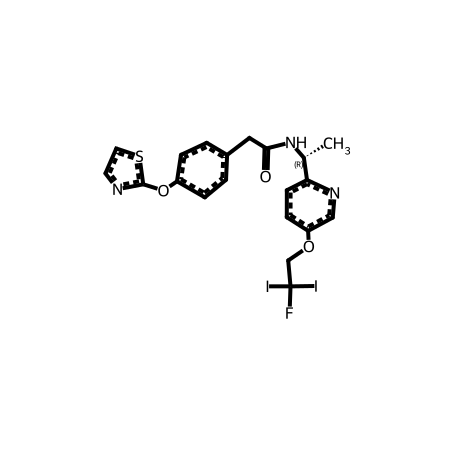 C[C@@H](NC(=O)Cc1ccc(Oc2nccs2)cc1)c1ccc(OCC(F)(I)I)cn1